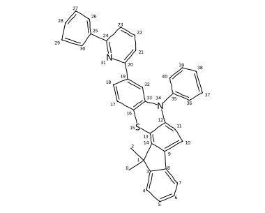 CC1(C)c2ccccc2-c2ccc3c(c21)Sc1ccc(-c2cccc(-c4ccccc4)n2)cc1N3c1ccccc1